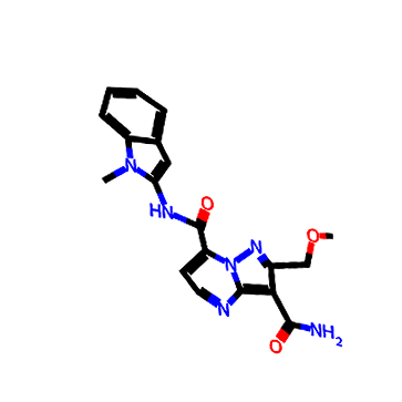 COCc1nn2c(C(=O)Nc3cc4ccccc4n3C)ccnc2c1C(N)=O